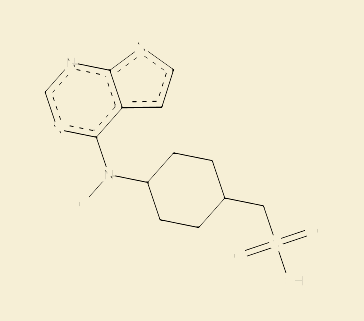 CN(c1ncnc2[nH]ccc12)C1CCC(CS(C)(=O)=O)CC1